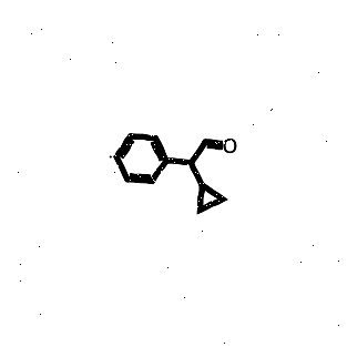 O=CC(c1cc[c]cc1)C1CC1